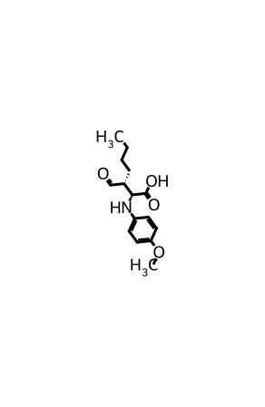 CCCC[C@@H](C=O)[C@H](Nc1ccc(OC)cc1)C(=O)O